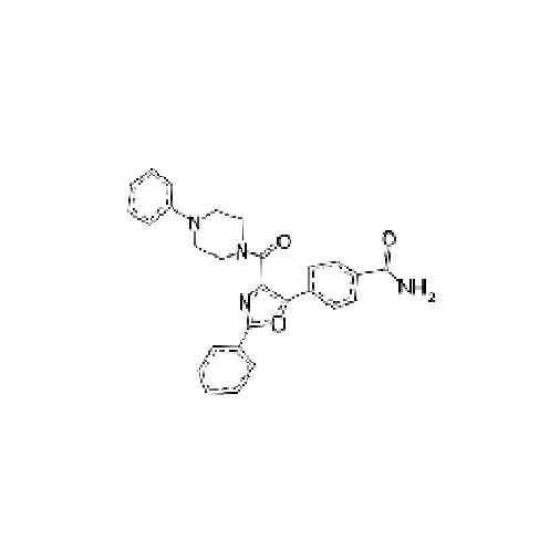 NC(=O)c1ccc(-c2oc(-c3ccccc3)nc2C(=O)N2CCN(c3ccccc3)CC2)cc1